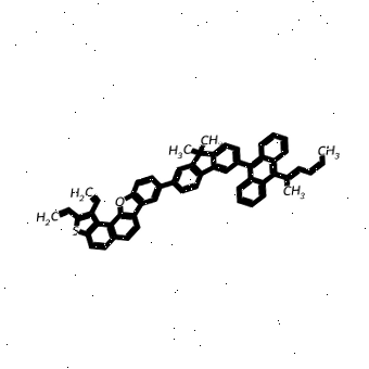 C=Cc1sc2ccc3ccc4c5cc(-c6ccc7c(c6)C(C)(C)c6ccc(-c8c9ccccc9c(/C(C)=C/C=C\C)c9ccccc89)cc6-7)ccc5oc4c3c2c1C=C